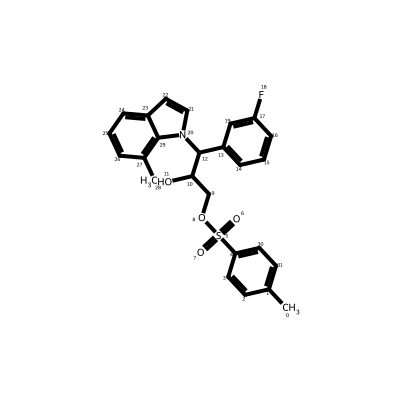 Cc1ccc(S(=O)(=O)OCC(O)C(c2cccc(F)c2)n2ccc3cccc(C)c32)cc1